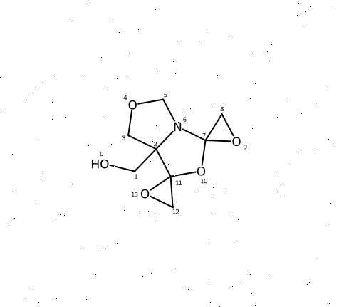 OCC12COCN1C1(CO1)OC21CO1